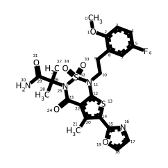 COc1ccc(F)cc1CCN1c2sc(-c3ncco3)c(C)c2C(=O)N(C(C)(C)C(N)=O)S1(=O)=O